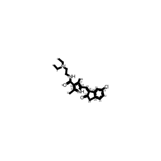 CCN(CC)CCNC(=O)c1c(C)[nH]c(C=C2C(=O)Cc3ccc(Cl)cc32)c1C